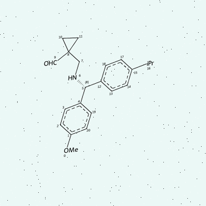 COc1ccc([C@H](NCC2(C=O)CC2)c2ccc(C(C)C)cc2)cc1